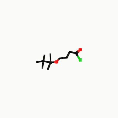 CC(C)(C)[Si](C)(C)OCCCC(=O)Cl